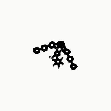 Fc1c(F)c(F)c(-c2cc(-n3c4ccccc4c4ccc(-c5ccc(-c6ccccc6)nc5)cc43)c(-n3c4ccccc4c4ccc(-c5ccc(-c6ccccc6)nc5)cc43)cc2C(F)(F)F)c(F)c1F